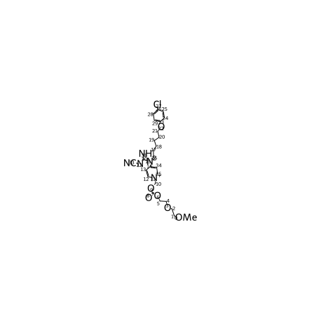 COCCOCCOC(=O)OC[n+]1ccc(N(CCCCCCOc2ccc(Cl)cc2)C(N)=NC#N)cc1